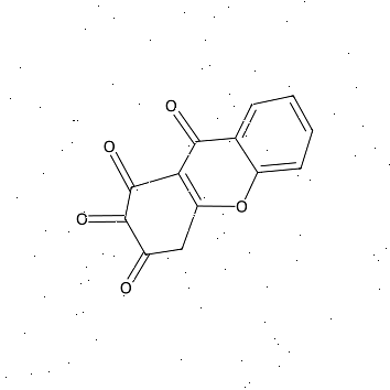 O=C1Cc2oc3ccccc3c(=O)c2C(=O)C1=O